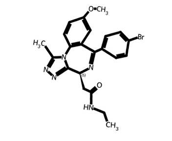 CCNC(=O)C[C@@H]1N=C(c2ccc(Br)cc2)c2cc(OC)ccc2-n2c(C)nnc21